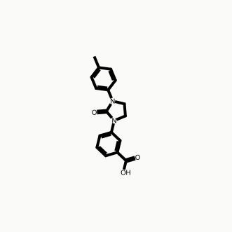 Cc1ccc(N2CCN(c3cccc(C(=O)O)c3)C2=O)cc1